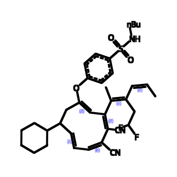 C\C=C/C(CC(F)F)=C(C)/C1=C(C#N)/C(C#N)=C\C=C\C(C2CCCCC2)C\C(Oc2ccc(S(=O)(=O)NCCCC)cc2)=C\1